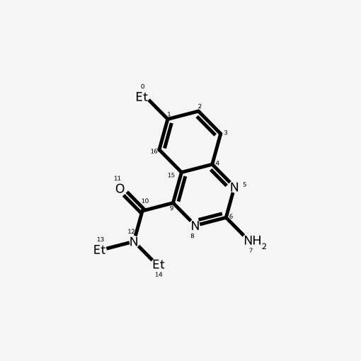 CCc1ccc2nc(N)nc(C(=O)N(CC)CC)c2c1